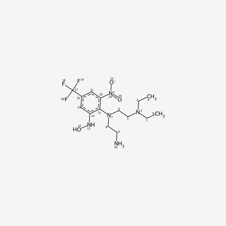 CCN(CC)CCN(CCN)c1c(NO)cc(C(F)(F)F)cc1[N+](=O)[O-]